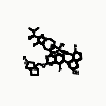 CC(C)[Si](C#Cc1c(F)ccc2cc(O)cc(-c3c(F)cc4c(N5CCCn6nc(C(=O)N(C)C)c(F)c6C5)nc(OC[C@@]56CCCN5C[C@H](F)C6)nc4c3F)c12)(C(C)C)C(C)C